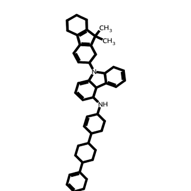 CC1(C)C2=C(C=CC(N3C4=CC=CC(NC5C=CC(C6CCC(C7=CC=CCC7)CC6)CC5)C4C4=CC=CCC43)C2)C2=C1CCCC2